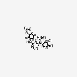 CCNC1CN(/C(=N\C#N)Nc2cccc(OC(F)F)c2F)N=C1c1ccc(Cl)c(Cl)c1